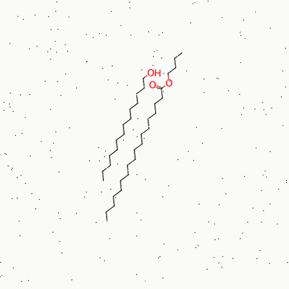 CCCCCCCCCCCCCCCCCC(=O)OCCCC.CCCCCCCCCCCCCCO